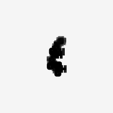 O=C1CCC(N2Cc3cc(CNC(=O)NC4CCN(Cc5ccccc5)CC4)ccc3C2=O)C(=O)N1